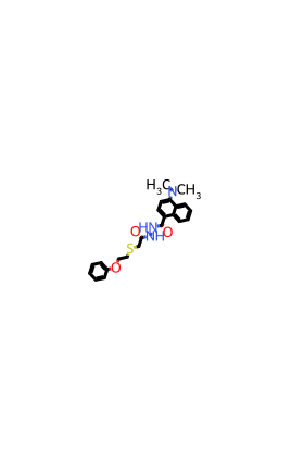 CN(C)c1ccc(C(=O)NNC(=O)CSCCOc2ccccc2)c2ccccc12